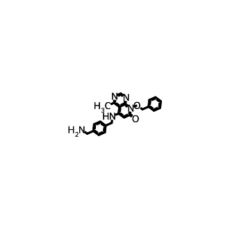 Cc1ncnc2c1c(NCc1ccc(CN)cc1)cc(=O)n2OCc1ccccc1